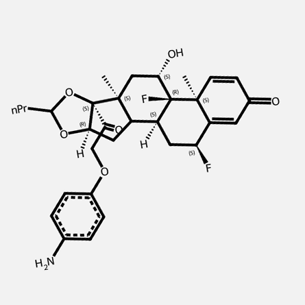 CCCC1O[C@@H]2CC3[C@@H]4C[C@H](F)C5=CC(=O)C=C[C@]5(C)[C@@]4(F)[C@@H](O)C[C@]3(C)[C@]2(C(=O)COc2ccc(N)cc2)O1